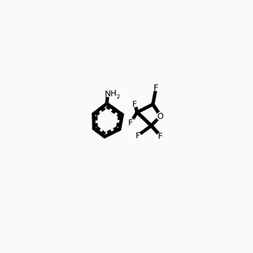 FC1OC(F)(F)C1(F)F.Nc1ccccc1